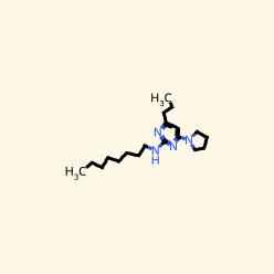 CCCCCCCCNc1nc(CCC)cc(N2CCCC2)n1